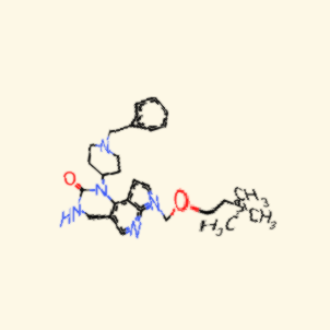 C[Si](C)(C)CCOCn1ccc2c3c(cnc21)CNC(=O)N3C1CCN(Cc2ccccc2)CC1